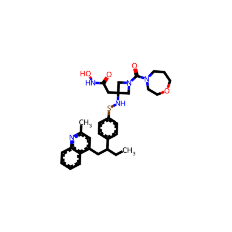 CCC(Cc1cc(C)nc2ccccc12)c1ccc(SNC2(CC(=O)NO)CN(C(=O)N3CCCOCC3)C2)cc1